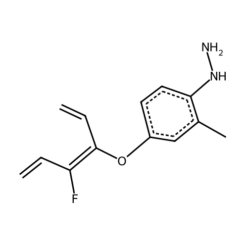 C=C/C(F)=C(\C=C)Oc1ccc(NN)c(C)c1